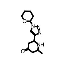 CC1CC(=O)CC(c2cn(C3CCCCO3)nn2)N1